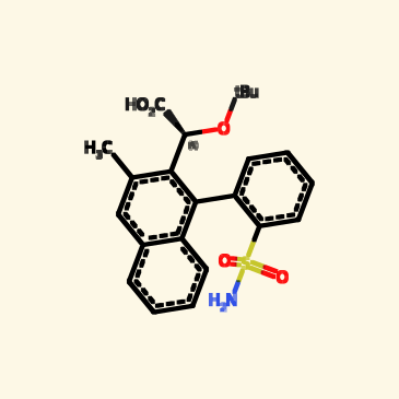 Cc1cc2ccccc2c(-c2ccccc2S(N)(=O)=O)c1[C@H](OC(C)(C)C)C(=O)O